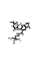 B=C(Nc1c(C(=O)NOCC(B)(B)O)cc2c(ncn2C)c1F)/C(Cl)=C\C(Br)=C/C